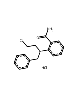 Cl.NC(=O)c1ccccc1N(CCCl)Cc1ccccc1